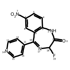 O=C1Nc2ccc([N+](=O)[O-])cc2C(c2ccncc2)=NC1F